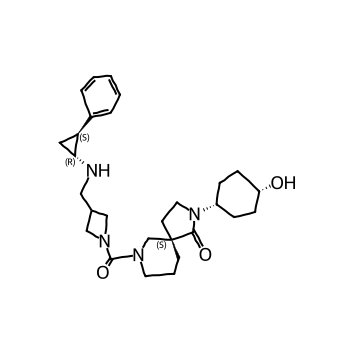 O=C(N1CC(CN[C@@H]2C[C@H]2c2ccccc2)C1)N1CCC[C@]2(CCN([C@H]3CC[C@@H](O)CC3)C2=O)C1